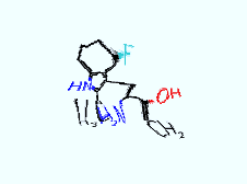 C=C(O)C(N)Cc1c(C)[nH]c2c1=C(F)CCC=2